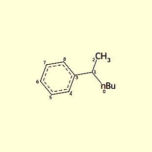 CCCCC(C)c1[c]cccc1